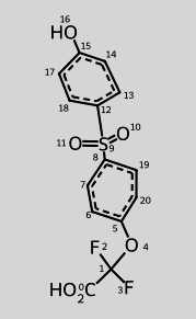 O=C(O)C(F)(F)Oc1ccc(S(=O)(=O)c2ccc(O)cc2)cc1